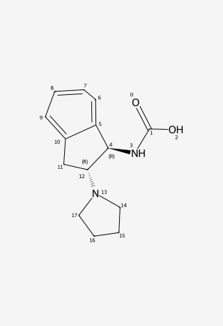 O=C(O)N[C@@H]1c2ccccc2C[C@H]1N1CCCC1